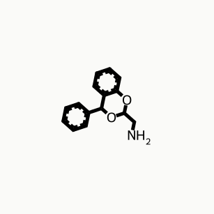 NCC1Oc2ccccc2C(c2ccccc2)O1